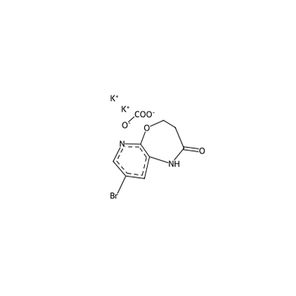 O=C([O-])[O-].O=C1CCOc2ncc(Br)cc2N1.[K+].[K+]